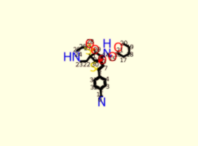 N#Cc1ccc(-c2ccc(C3(CC(=O)NOC4CCCCO4)CCNCCS3(=O)=O)s2)cc1